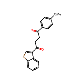 COc1ccc(C(=O)CCC(=O)c2csc3ccccc23)cc1